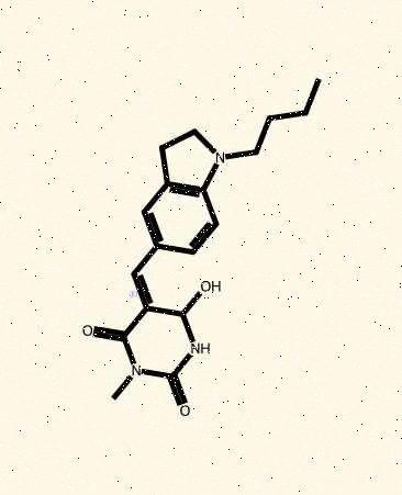 CCCCN1CCc2cc(/C=C3/C(=O)N(C)C(=O)NC3O)ccc21